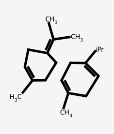 CC1=CCC(=C(C)C)CC1.CC1=CCC(C(C)C)=CC1